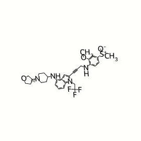 COc1cc([S+](C)[O-])ccc1NCC#Cc1cc2c(NC3CCN([C@H]4CCOC4)CC3)cccc2n1CC(F)(F)F